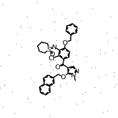 Cn1ncc(C(=O)c2ccc(OCc3ccccc3)c(N=S3(=O)CCCCC3)c2Cl)c1OCc1ccc2ccccc2c1